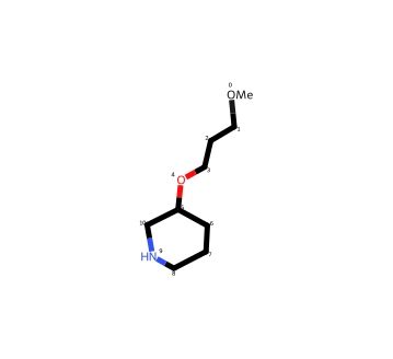 COCCCOC1CCCNC1